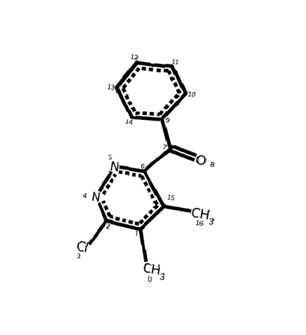 Cc1c(Cl)nnc(C(=O)c2ccccc2)c1C